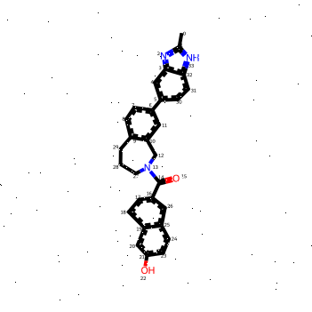 Cc1nc2cc(-c3ccc4c(c3)CN(C(=O)c3ccc5cc(O)ccc5c3)CCC4)ccc2[nH]1